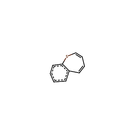 C1=CSc2ccccc2C=C1